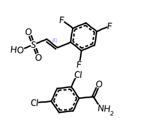 NC(=O)c1ccc(Cl)cc1Cl.O=S(=O)(O)/C=C/c1c(F)cc(F)cc1F